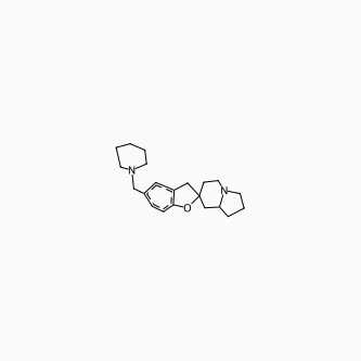 c1cc2c(cc1CN1CCCCC1)CC1(CCN3CCCC3C1)O2